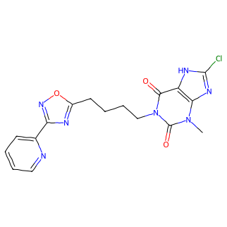 Cn1c(=O)n(CCCCc2nc(-c3ccccn3)no2)c(=O)c2[nH]c(Cl)nc21